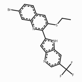 CCSc1cc2ccc(Br)cc2nc1-c1cc2ncc(C(F)(F)F)cc2[nH]1